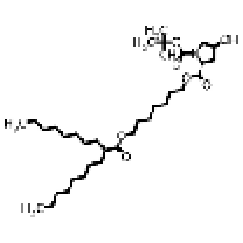 CCCCCCCCC(CCCCCCCC)C(=O)OCCCCCCCOC(=O)[C@@H]1CC(O)CN1C(=O)OC(C)(C)C